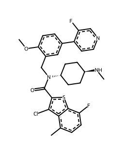 CN[C@H]1CC[C@H](N(Cc2cc(-c3ccncc3F)ccc2OC)C(=O)c2sc3c(F)ccc(C)c3c2Cl)CC1